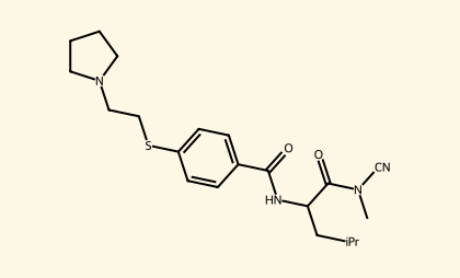 CC(C)CC(NC(=O)c1ccc(SCCN2CCCC2)cc1)C(=O)N(C)C#N